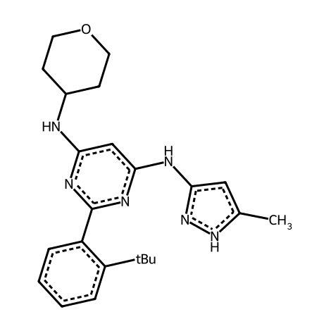 Cc1cc(Nc2cc(NC3CCOCC3)nc(-c3ccccc3C(C)(C)C)n2)n[nH]1